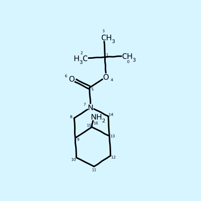 CC(C)(C)OC(=O)N1CC2CCCC(C1)C2N